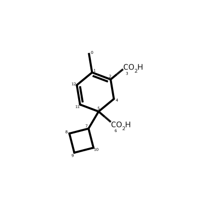 CC1=C(C(=O)O)CC(C(=O)O)(C2CCC2)C=C1